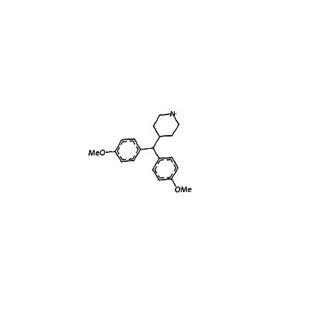 COc1ccc(C(c2ccc(OC)cc2)C2CC[N]CC2)cc1